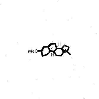 COC1=CC2=CC[C@H]3[C@@H]4CCC(C)=C4CC[C@@H]3[C@@]2(C)CC1